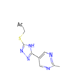 CC(=O)CSc1nnc(-c2cnc(C)nc2)[nH]1